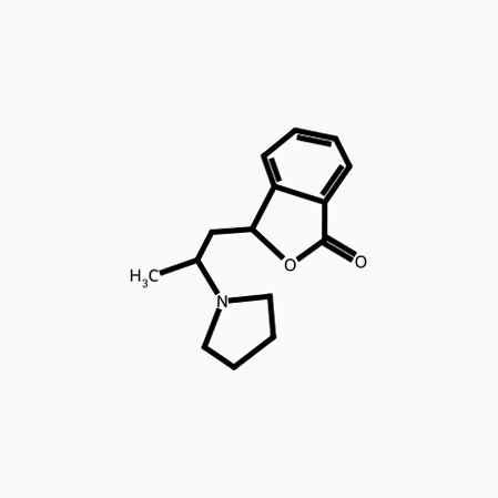 CC(CC1OC(=O)c2ccccc21)N1CCCC1